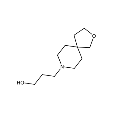 OCCCN1CCC2(CCOC2)CC1